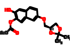 COC(=O)Oc1cc2cc(OC[C@H]3COC(C)(C)O3)ccc2cc1O